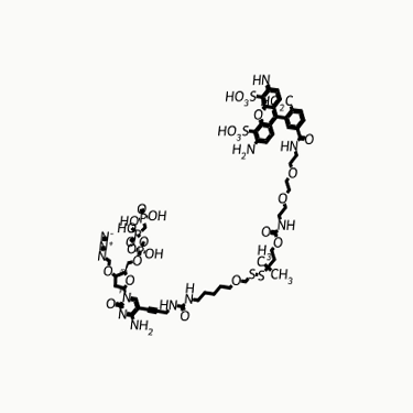 CC(C)(CCOC(=O)NCCOCCOCCNC(=O)c1ccc(C(=O)O)c(-c2c3ccc(=N)c(S(=O)(=O)O)c-3oc3c(S(=O)(=O)O)c(N)ccc23)c1)SSCOCCCCCNC(=O)NCC#Cc1cn([C@H]2CC(OCN=[N+]=[N-])[C@@H](COP(=O)(O)OP(=O)(O)CP(=O)(O)O)O2)c(=O)nc1N